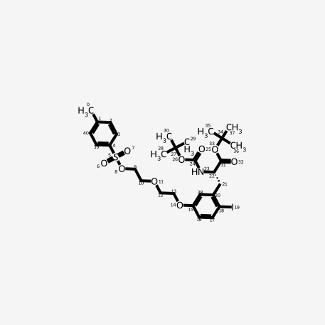 Cc1ccc(S(=O)(=O)OCCOCCOc2ccc(I)c(C[C@H](NC(=O)OC(C)(C)C)C(=O)OC(C)(C)C)c2)cc1